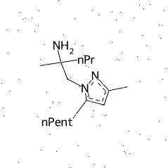 CCCCCc1cc(C)nn1CC(C)(N)CCC